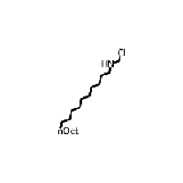 CCCCCCCCCCCCCCCCCCNCCl